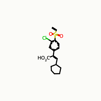 C=CS(=O)(=O)c1ccc(C(=CC2CCCCC2)C(=O)O)cc1Cl